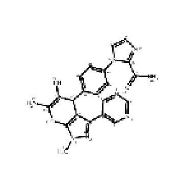 Cn1nc(-c2cncnc2)c2c1OC(N)=C(C#N)C2c1ccc(-n2ccnc2C(N)=O)cc1